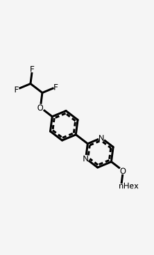 CCCCCCOc1cnc(-c2ccc(OC(F)C(F)F)cc2)nc1